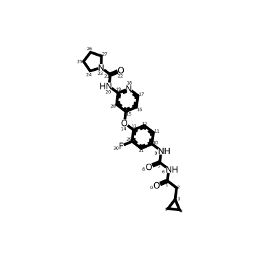 O=C(CC1CC1)NC(=O)Nc1ccc(Oc2ccnc(NC(=O)N3CCCC3)c2)c(F)c1